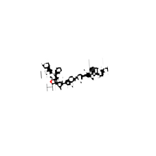 COC(=O)N[C@H](C(=O)N1CCC[C@H]1c1ncc(-c2ccc(-c3ccc4cc(-c5c[nH]c([C@@H]6CCCN6C(=O)[C@H](NC(=O)OC6CCOCC6)c6ccccc6)n5)cnc4c3)nc2)[nH]1)C(C)C